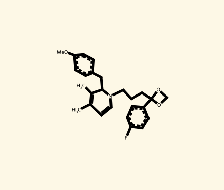 COc1ccc(CC2C(C)=C(C)C=CN2CCCC2(c3ccc(F)cc3)OCO2)cc1